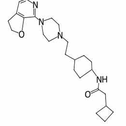 O=C(CC1CCC1)NC1CCC(CCN2CCN(c3nccc4c3OCC4)CC2)CC1